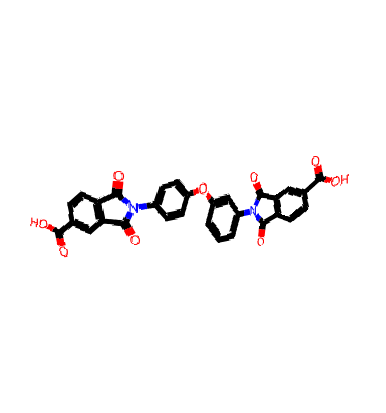 O=C(O)c1ccc2c(c1)C(=O)N(c1ccc(Oc3cccc(N4C(=O)c5ccc(C(=O)O)cc5C4=O)c3)cc1)C2=O